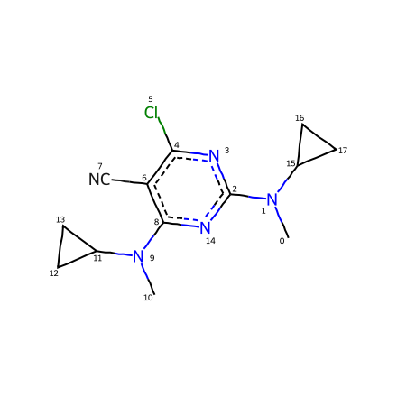 CN(c1nc(Cl)c(C#N)c(N(C)C2CC2)n1)C1CC1